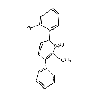 CC1=C(c2ccccc2)C=CC(c2ccccc2C(C)C)N1